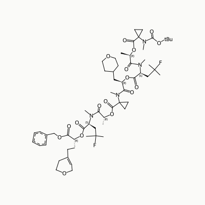 C[C@@H](OC(=O)C1(N(C)C(=O)OC(C)(C)C)CC1)C(=O)N(C)[C@@H](CC(C)(C)F)C(=O)O[C@H](CC1CCOCC1)C(=O)N(C)C1(C(=O)O[C@H](C)C(=O)N(C)[C@@H](CC(C)(C)F)C(=O)O[C@H](CCC2=CCOCC2)C(=O)OCc2ccccc2)CC1